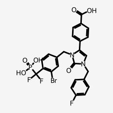 O=C(O)c1ccc(-c2cn(Cc3ccc(F)cc3)c(=O)n2Cc2ccc(C(F)(F)P(=O)(O)O)c(Br)c2)cc1